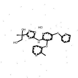 Cc1ncccc1Oc1cc(Sc2ccccn2)cnc1Nc1nc([C@@](C)(O)CO)ns1.Cl